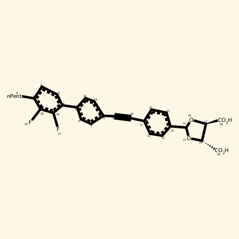 CCCCCc1ccc(-c2ccc(C#Cc3ccc(C4O[C@@H](C(=O)O)[C@H](C(=O)O)O4)cc3)cc2)c(F)c1F